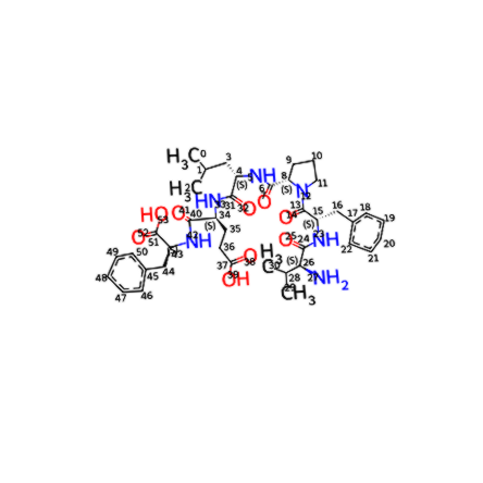 CC(C)C[C@H](NC(=O)[C@@H]1CCCN1C(=O)[C@H](Cc1ccccc1)NC(=O)[C@@H](N)C(C)C)C(=O)N[C@@H](CCC(=O)O)C(=O)N[C@@H](Cc1ccccc1)C(=O)O